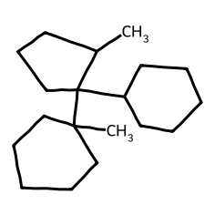 CC1CCCC1(C1CCCCC1)C1(C)CCCCC1